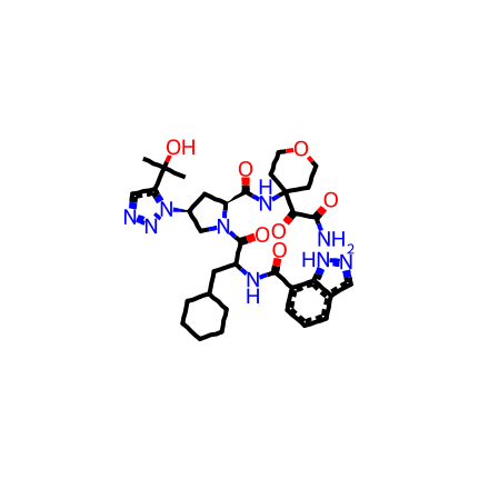 CC(C)(O)c1cnnn1[C@H]1C[C@@H](C(=O)NC2(C(=O)C(N)=O)CCOCC2)N(C(=O)C(CC2CCCCC2)NC(=O)c2cccc3cn[nH]c23)C1